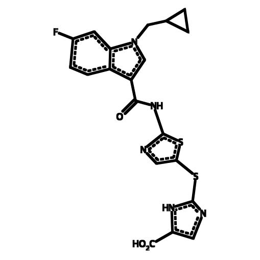 O=C(O)c1cnc(Sc2cnc(NC(=O)c3cn(CC4CC4)c4cc(F)ccc34)s2)[nH]1